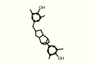 Cc1cc(CC2CC3C(C2)C2CCC3C2c2cc(C)c(O)c(C)c2)cc(C)c1O